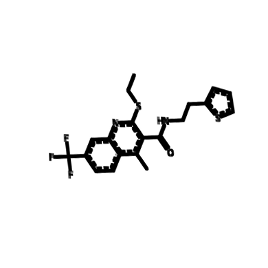 CCSc1nc2cc(C(F)(F)F)ccc2c(C)c1C(=O)NCCc1cccs1